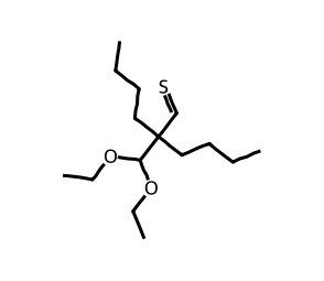 CCCCC(C=S)(CCCC)C(OCC)OCC